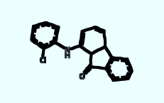 O=C1c2ccccc2C2C=CC=C(Nc3ccccc3Cl)C12